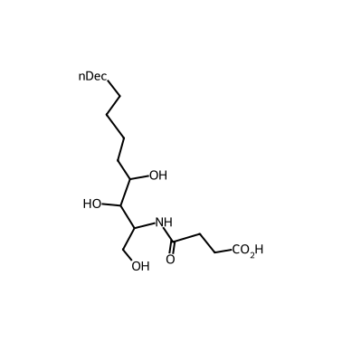 CCCCCCCCCCCCCCC(O)C(O)C(CO)NC(=O)CCC(=O)O